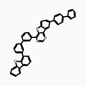 c1ccc(-c2ccc(-c3ccc4sc5c(-c6cccc(-c7cccc(-c8cccc9c8oc8ccccc89)c7)c6)ncnc5c4c3)cc2)cc1